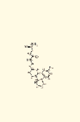 NC(=O)COC(=O)NCCC1CCN(c2ncccc2-c2ccc(F)cc2)CC1